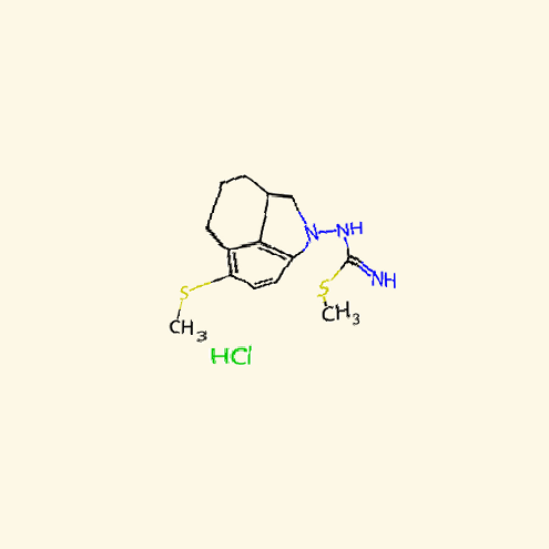 CSC(=N)NN1CC2CCCc3c(SC)ccc1c32.Cl